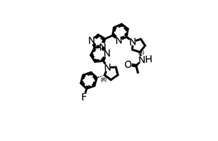 CC(=O)N[C@@H]1CCN(c2cccc(-c3cnc4ccc(N5CCC[C@@H]5c5cccc(F)c5)nn34)n2)C1